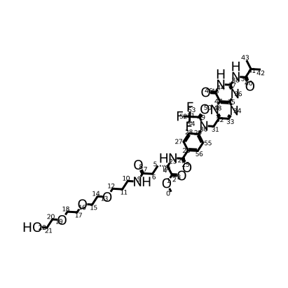 COC(=O)[C@H](CCC(=O)NCCCOCCOCCOCCO)NC(=O)c1ccc(N(Cc2cnc3nc(NC(=O)C(C)C)[nH]c(=O)c3n2)C(=O)C(F)(F)F)cc1